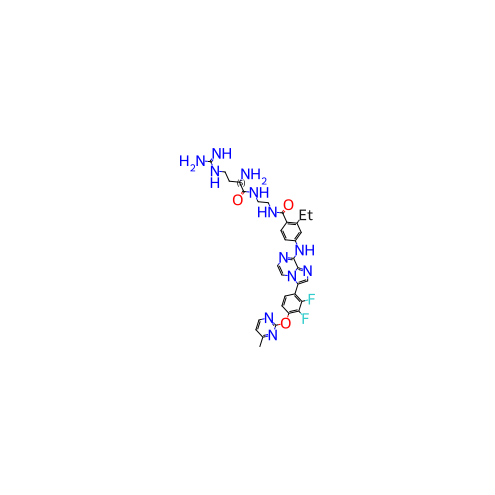 CCc1cc(Nc2nccn3c(-c4ccc(Oc5nccc(C)n5)c(F)c4F)cnc23)ccc1C(=O)NCCNC(=O)[C@@H](N)CCNC(=N)N